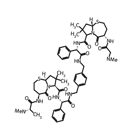 CNCC(=O)N[C@H]1CCS[C@H]2CC(C)(C)C(C(=O)N[C@H](C(=O)NCc3ccc(CNC(=O)[C@@H](NC(=O)[C@H]4N5C(=O)[C@@H](NC(=O)[C@H](C)NC)CCS[C@H]5CC4(C)C)c4ccccc4)cc3)c3ccccc3)N2C1=O